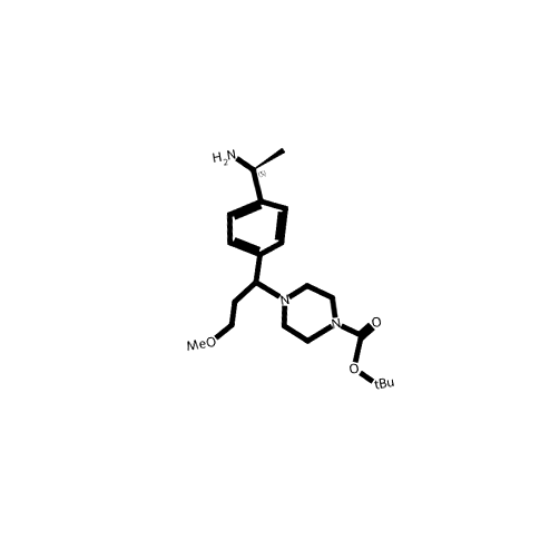 COCCC(c1ccc([C@H](C)N)cc1)N1CCN(C(=O)OC(C)(C)C)CC1